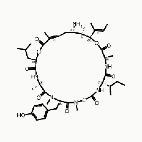 C/C=C(\C)[C@H]1OC(=O)[C@@H](C)NC(=O)[C@H](C(C)CC)NC(=O)CN(C)C(=O)[C@@H](Cc2ccc(O)cc2)N(C)C(=O)[C@H](C)NC(=O)[C@@H](CC(C)C)OC(=O)/C(C)=C/C[C@H](N)[C@@H]1C